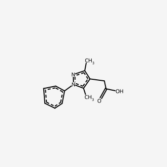 Cc1nn(-c2ccccc2)c(C)c1CC(=O)O